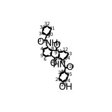 O=C(Nc1cccc2c1C(=O)c1cccc(NC(=O)c3ccc(O)cc3)c1C2=O)c1ccccc1